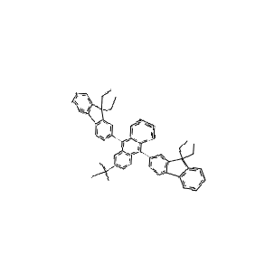 CCC1(CC)c2ccccc2-c2ccc(-c3c4ccccc4c(-c4ccc5c(c4)C(CC)(CC)c4ccccc4-5)c4cc(C(C)(C)C)ccc34)cc21